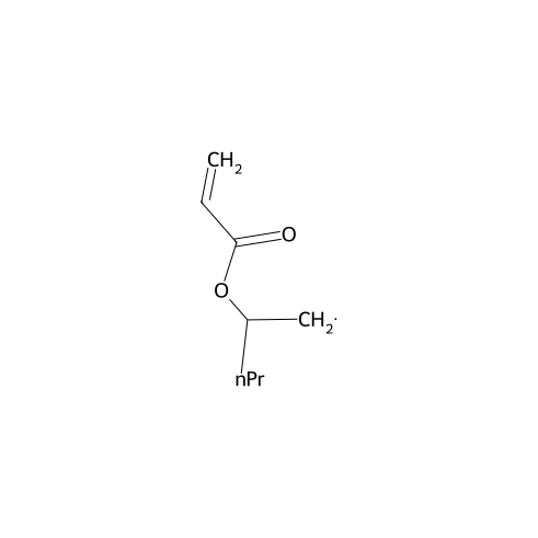 [CH2]C(CCC)OC(=O)C=C